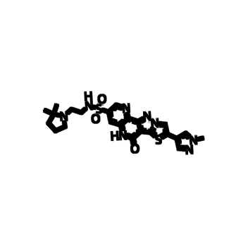 Cn1cc(-c2cn3nc4c5ncc(S(=O)(=O)NCCN6CCCC6(C)C)cc5[nH]c(=O)c4c3s2)cn1